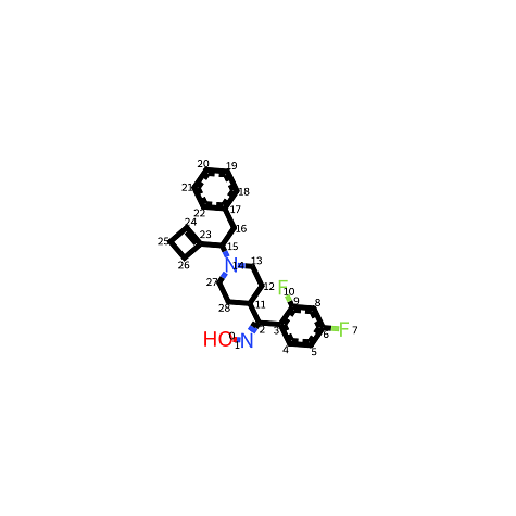 ON=C(c1ccc(F)cc1F)C1CCN(C(Cc2ccccc2)C2=CCC2)CC1